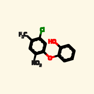 O=[N+]([O-])c1cc(C(F)(F)F)c(Cl)cc1Oc1ccccc1O